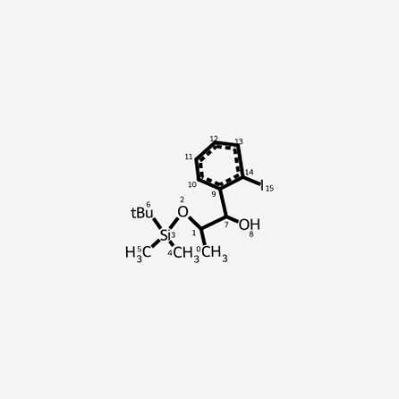 CC(O[Si](C)(C)C(C)(C)C)C(O)c1ccccc1I